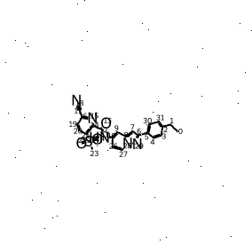 CCc1ccc(-c2cc3cc(NC(=O)c4nc(C#N)ccc4S(C)(=O)=O)ccn3n2)cc1